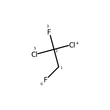 FCC(F)(Cl)Cl